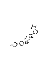 CC(=O)N(C)c1cccc(-c2cc3cnc(Nc4ccc(N5CCN(C)CC5)cc4)cc3n2C)c1